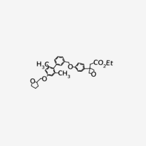 CCOC(=O)CC1(c2ccc(OCc3cccc(-c4c(C)cc(OCC5CCCO5)cc4C)c3)cc2)COC1